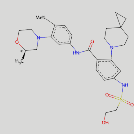 CNc1ccc(NC(=O)c2ccc(NS(=O)(=O)CCO)cc2N2CCC3(CC2)CC3)cc1N1CCO[C@H](C)C1